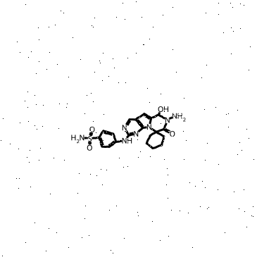 NN1C(=O)C2(CCCCC2)n2c(cc3cnc(Nc4ccc(S(N)(=O)=O)cc4)nc32)C1O